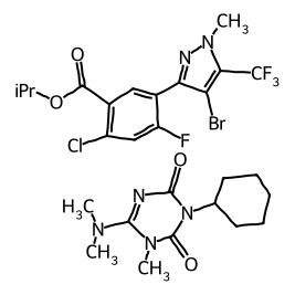 CC(C)OC(=O)c1cc(-c2nn(C)c(C(F)(F)F)c2Br)c(F)cc1Cl.CN(C)c1nc(=O)n(C2CCCCC2)c(=O)n1C